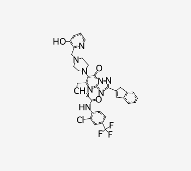 CCc1c(N2CCN(Cc3ncccc3O)CC2)c(=O)n2nc(C3=Cc4ccccc4C3)nc2n1CC(=O)Nc1ccc(C(F)(F)F)cc1Cl